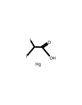 O=C(O)C(I)I.[Hg]